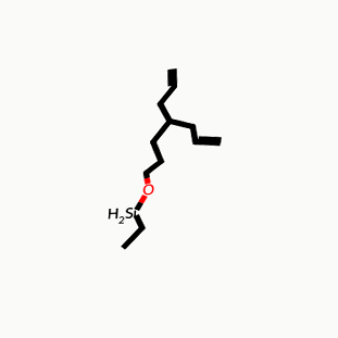 C=CCC(CC=C)CCCO[SiH2]CC